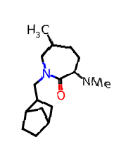 CNC1CCC(C)CN(CC2CC3CCC2C3)C1=O